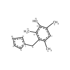 Cc1cc(C)c(Cn2ccnc2)c(C)c1O